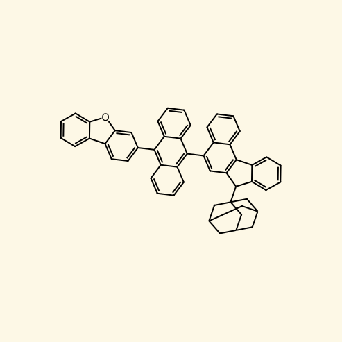 c1ccc2c(c1)-c1c(cc(-c3c4ccccc4c(-c4ccc5c(c4)oc4ccccc45)c4ccccc34)c3ccccc13)C2C12CC3CC(CC(C3)C1)C2